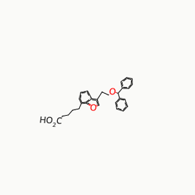 O=C(O)CCCCc1cccc2c(CCOC(c3ccccc3)c3ccccc3)coc12